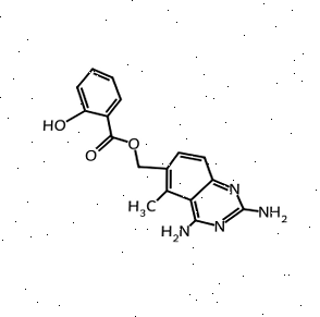 Cc1c(COC(=O)c2ccccc2O)ccc2nc(N)nc(N)c12